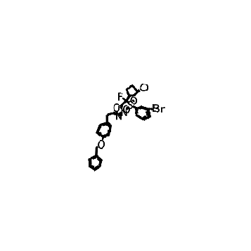 O=C1CCC(C(F)(c2nnc(Cc3ccc(OCc4ccccc4)cc3)o2)S(=O)(=O)c2cccc(Br)c2)C1